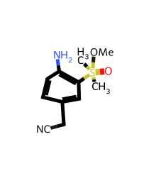 COS(C)(C)(=O)c1cc(CC#N)ccc1N